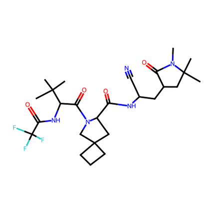 CN1C(=O)C(CC(C#N)NC(=O)C2CC3(CCC3)CN2C(=O)C(NC(=O)C(F)(F)F)C(C)(C)C)CC1(C)C